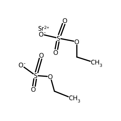 CCOS(=O)(=O)[O-].CCOS(=O)(=O)[O-].[Sr+2]